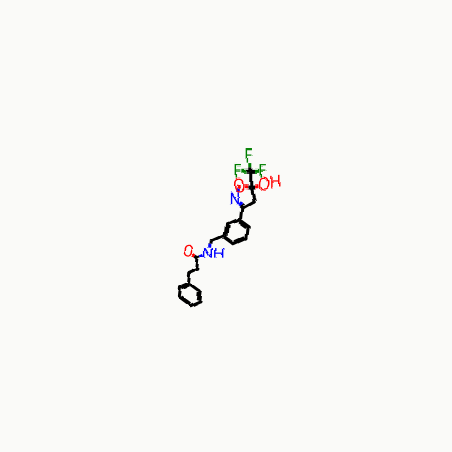 O=C(CCc1ccccc1)NCc1cccc(C2=NOC(O)(C(F)(F)F)C2)c1